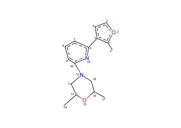 Cc1occc1-c1cccc(N2CC(C)OC(C)C2)n1